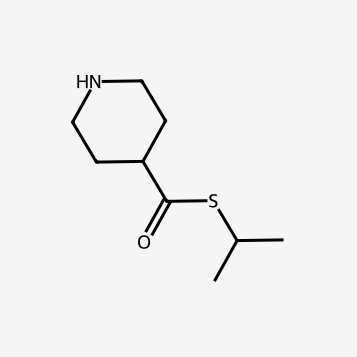 CC(C)SC(=O)C1CCNCC1